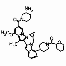 COc1cc(C(=O)N2CCC[C@@H](N)C2)cn2nc(-c3cc4cccc(C5CCN(C(=O)C6CCCCO6)CC5)c4n3CC3CC3)c(C)c12